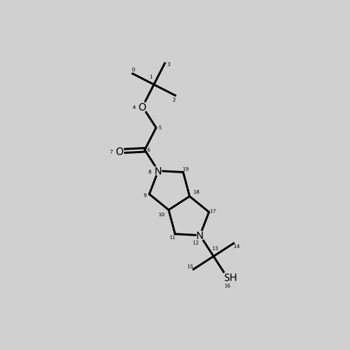 CC(C)(C)OCC(=O)N1CC2CN(C(C)(C)S)CC2C1